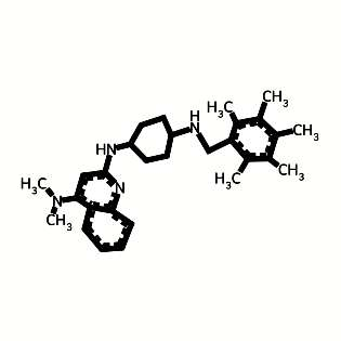 Cc1c(C)c(C)c(CNC2CCC(Nc3cc(N(C)C)c4ccccc4n3)CC2)c(C)c1C